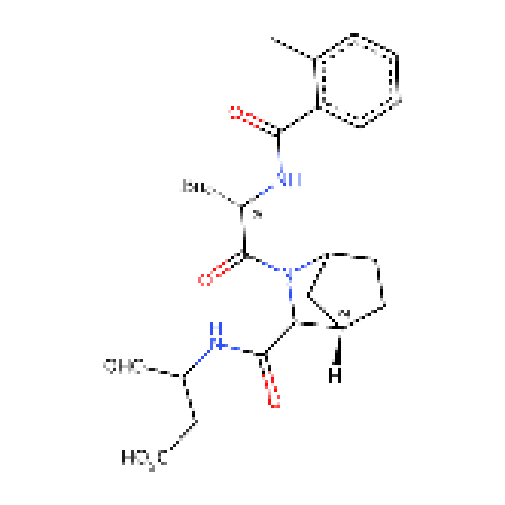 Cc1ccccc1C(=O)N[C@H](C(=O)N1C2CC[C@@H](C2)C1C(=O)NC(C=O)CC(=O)O)C(C)(C)C